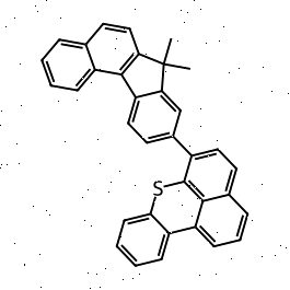 CC1(C)c2cc(-c3ccc4cccc5c4c3Sc3ccccc3-5)ccc2-c2c1ccc1ccccc21